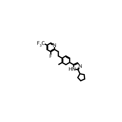 CC1=C(CCc2ncc(C(F)(F)F)cc2F)C=CC(c2cnc(C3CCCC3)[nH]2)C1